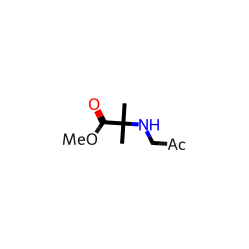 COC(=O)C(C)(C)NCC(C)=O